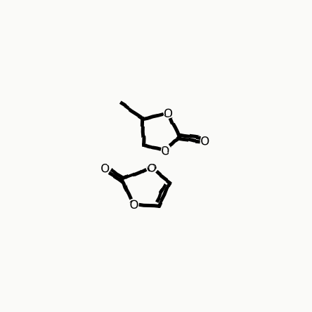 CC1COC(=O)O1.O=c1occo1